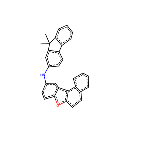 CC1(C)c2ccccc2-c2ccc(Nc3ccc4oc5ccc6ccccc6c5c4c3)cc21